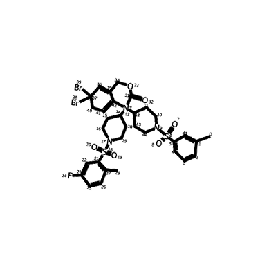 Cc1cccc(S(=O)(=O)N2CCC([N+]3(C4CCN(S(=O)(=O)c5cc(F)ccc5C)CC4)C(=O)OCC4=CC(Br)(Br)CC=C43)CC2)c1